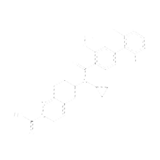 COc1cc(-c2c(F)cccc2F)ccc1C(=O)N(C1CC1)C1CCC2=NN(C(=O)O)CC=C2C1